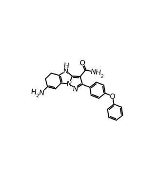 NC(=O)c1c(-c2ccc(Oc3ccccc3)cc2)nn2c3c([nH]c12)CCC(N)=C3